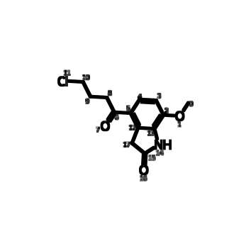 COc1ccc(C(=O)CCCCl)c2c1NC(=O)C2